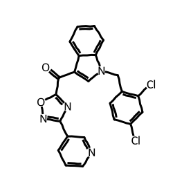 O=C(c1nc(-c2cccnc2)no1)c1cn(Cc2ccc(Cl)cc2Cl)c2ccccc12